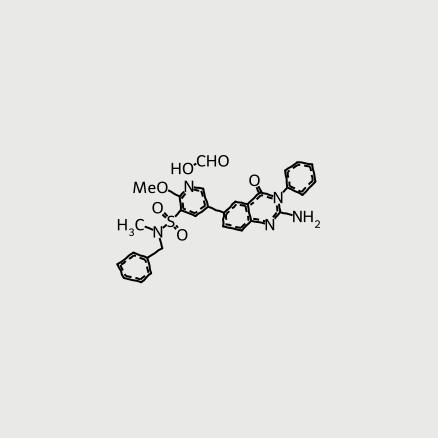 COc1ncc(-c2ccc3nc(N)n(-c4ccccc4)c(=O)c3c2)cc1S(=O)(=O)N(C)Cc1ccccc1.O=CO